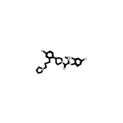 CN[C@H](Cc1ccc(Cl)cc1Cl)C(=O)N1CCC(c2ccc(Cl)cc2CCCN2CCCC2)CC1